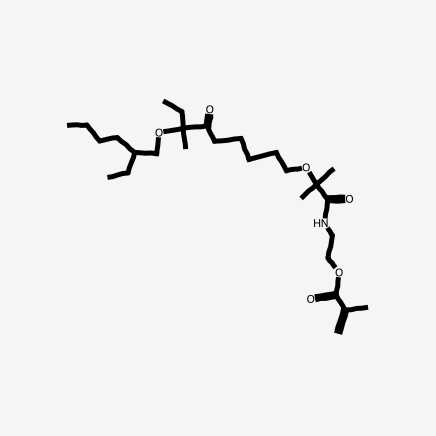 C=C(C)C(=O)OCCNC(=O)C(C)(C)OCCCCCC(=O)C(C)(CC)OCC(CC)CCCC